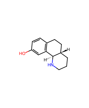 Oc1ccc2c(c1)[C@@H]1NCCC[C@H]1CC2